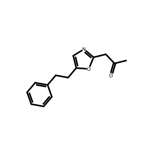 CC(=O)Cc1ncc(CCc2ccccc2)o1